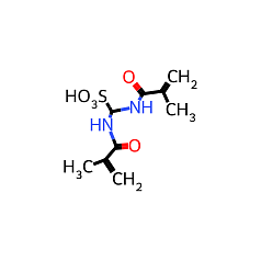 C=C(C)C(=O)NC(NC(=O)C(=C)C)S(=O)(=O)O